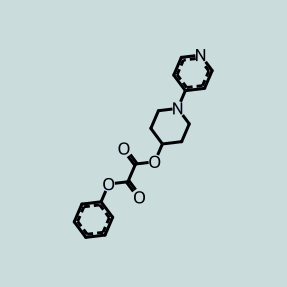 O=C(Oc1ccccc1)C(=O)OC1CCN(c2ccncc2)CC1